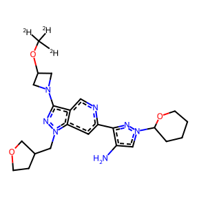 [2H]C([2H])([2H])OC1CN(c2nn(CC3CCOC3)c3cc(-c4nn(C5CCCCO5)cc4N)ncc23)C1